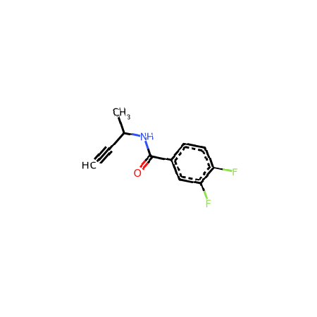 C#CC(C)NC(=O)c1ccc(F)c(F)c1